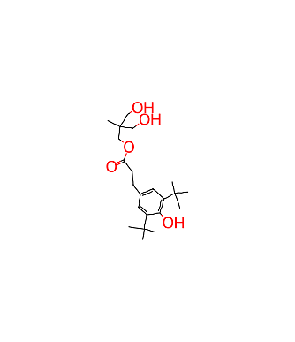 CC(CO)(CO)COC(=O)CCc1cc(C(C)(C)C)c(O)c(C(C)(C)C)c1